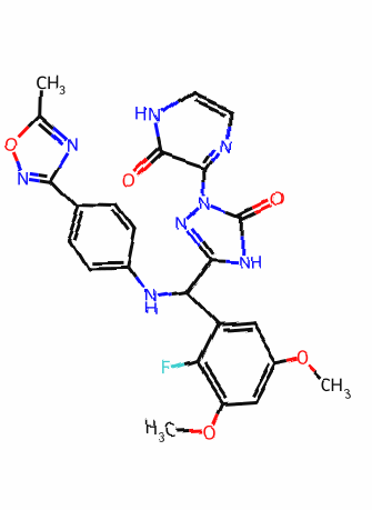 COc1cc(OC)c(F)c(C(Nc2ccc(-c3noc(C)n3)cc2)c2nn(-c3ncc[nH]c3=O)c(=O)[nH]2)c1